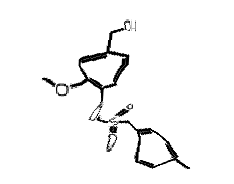 COc1cc(CO)ccc1OS(=O)(=O)c1ccc(C)cc1